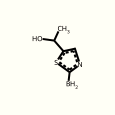 Bc1ncc(C(C)O)s1